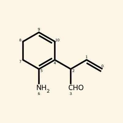 C=CC(C=O)C1=C(N)CCC=C1